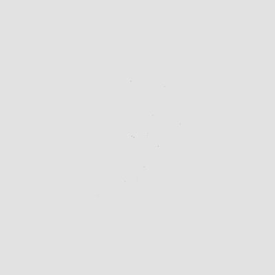 O=C(O)Cc1ccccc1Nc1cc2c(cc1Cl)CCC2